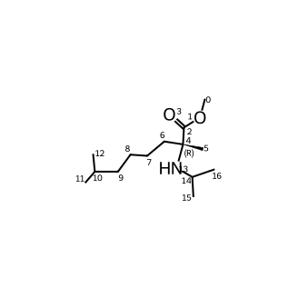 COC(=O)[C@@](C)(CCCCC(C)C)NC(C)C